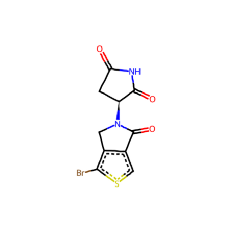 O=C1C[C@H](N2Cc3c(csc3Br)C2=O)C(=O)N1